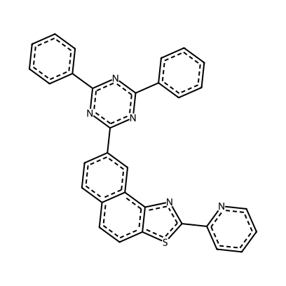 c1ccc(-c2nc(-c3ccccc3)nc(-c3ccc4ccc5sc(-c6ccccn6)nc5c4c3)n2)cc1